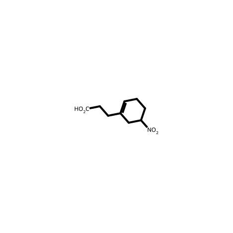 O=C(O)CCC1=CCCC([N+](=O)[O-])C1